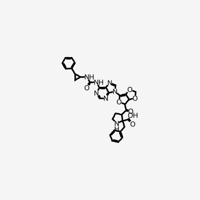 O=C(Nc1ncnc2c1ncn2C1=C2OCOC2C(C(=O)C2CCNC2(Cc2ccccc2)C(=O)O)O1)NC1CC1c1ccccc1